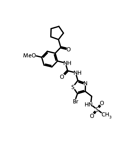 COc1ccc(NC(=O)Nc2nc(CNS(C)(=O)=O)c(Br)s2)c(C(=O)C2CCCC2)c1